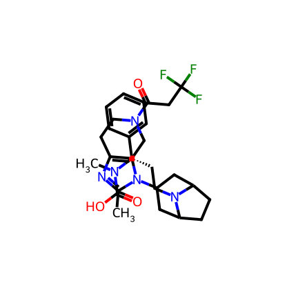 Cc1nc2c(n1C1CC3CCC(C1)N3CC[C@@H](c1ccccc1)N(C)C(=O)O)CN(C(=O)CC(F)(F)F)CC2